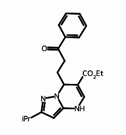 CCOC(=O)C1=CNc2cc(C(C)C)nn2C1CCC(=O)c1ccccc1